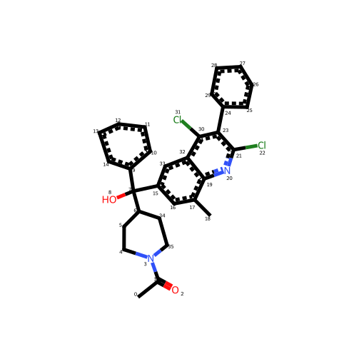 CC(=O)N1CCC(C(O)(c2ccccc2)c2cc(C)c3nc(Cl)c(-c4ccccc4)c(Cl)c3c2)CC1